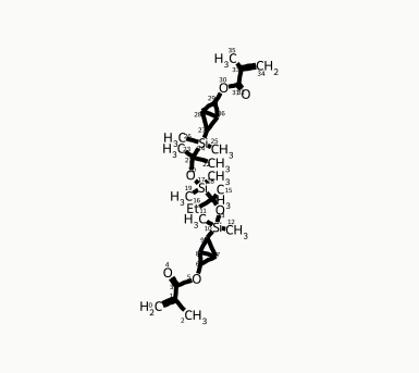 C=C(C)C(=O)OC1C2C1C2[Si](C)(C)OC(C)(CC)[Si](C)(C)OC(C)(C)[Si](C)(C)C1C2C(OC(=O)C(=C)C)C21